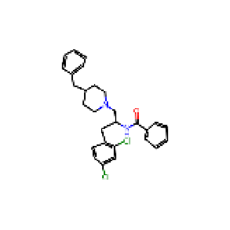 O=C(NC(Cc1ccc(Cl)cc1Cl)CN1CCC(Cc2ccccc2)CC1)c1ccccc1